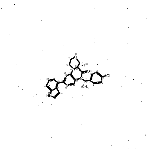 C[C@@H](c1ccc(Cl)cc1)N1C(=O)[C@@H]2COCCN2c2nc(-c3cccc4[nH]ccc34)ncc21